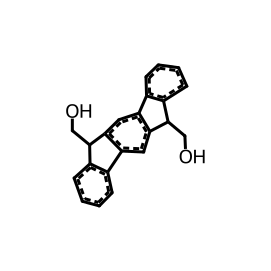 OCC1c2ccccc2-c2cc3c(cc21)-c1ccccc1C3CO